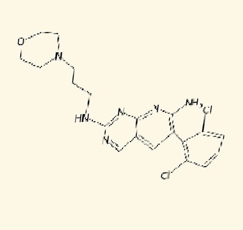 Nc1nc2nc(NCCCN3CCOCC3)ncc2cc1-c1c(Cl)cccc1Cl